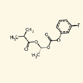 CC(C)C(=O)O[C@@H](C)OC(=O)Oc1cccc(F)c1